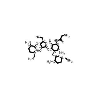 NCC(=O)N[C@@H]1C[C@H](N)[C@@H](O[C@H]2O[C@H](CN)CC[C@H]2N)[C@H](O[C@@H]2O[C@H](CO)[C@@H](O[C@H]3O[C@@H](CN)CC[C@H]3N)[C@H]2O)[C@H]1O